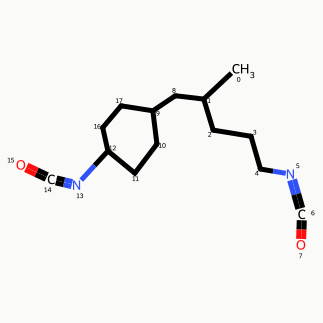 CC(CCCN=C=O)CC1CCC(N=C=O)CC1